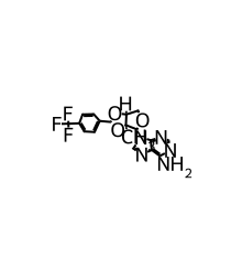 C[C@@]12OC(c3ccc(C(F)(F)F)cc3)O[C@@H]1COC2n1cnc2c(N)ncnc21